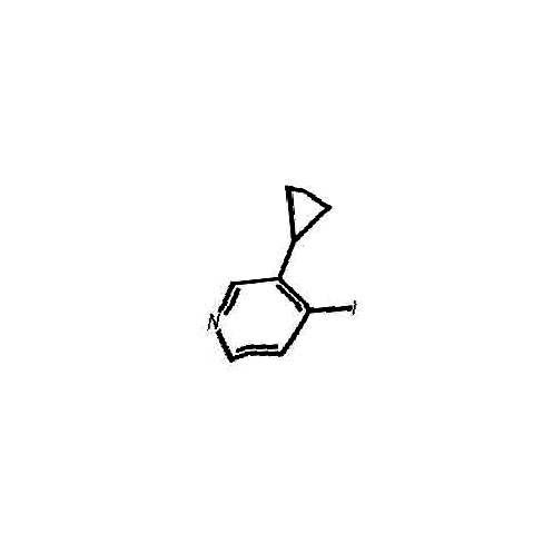 Ic1ccncc1C1CC1